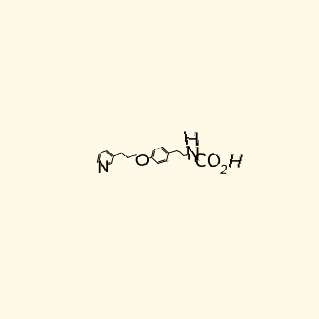 O=C(O)NCCc1ccc(OCCCc2cccnc2)cc1